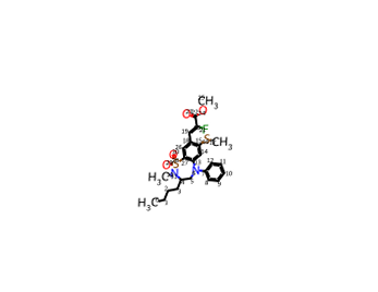 CCCCC1CN(c2ccccc2)c2cc(SC)c(C=C(F)C(=O)OC)cc2S(=O)(=O)N1C